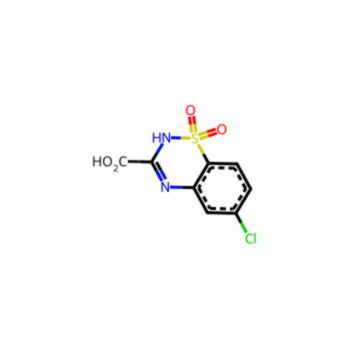 O=C(O)C1=Nc2cc(Cl)ccc2S(=O)(=O)N1